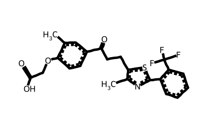 Cc1cc(C(=O)CCc2sc(-c3ccccc3C(F)(F)F)nc2C)ccc1OCC(=O)O